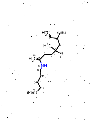 C=CC(CC(C)(CC)CCC(=C)NCCCCC(C)CCC)C(C)CC